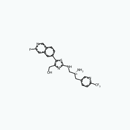 N[C@@H](CNc1nc(CO)c(-c2ccc3cnc(F)cc3c2)s1)Cc1ccc(C(F)(F)F)nc1